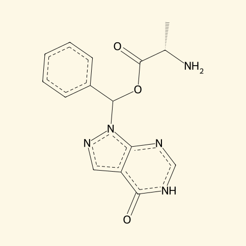 C[C@H](N)C(=O)OC(c1ccccc1)n1ncc2c(=O)[nH]cnc21